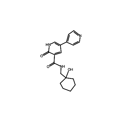 O=C(NCC1(O)CCCCC1)c1cc(-c2ccncc2)c[nH]c1=O